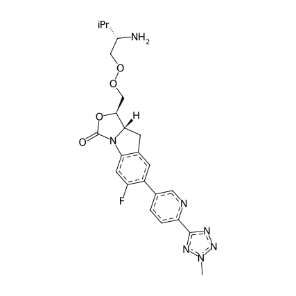 CC(C)[C@H](N)COOC[C@@H]1OC(=O)N2c3cc(F)c(-c4ccc(-c5nnn(C)n5)nc4)cc3C[C@@H]12